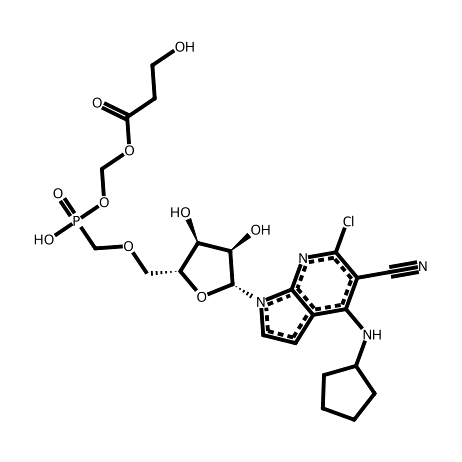 N#Cc1c(Cl)nc2c(ccn2[C@@H]2O[C@H](COCP(=O)(O)OCOC(=O)CCO)[C@@H](O)[C@H]2O)c1NC1CCCC1